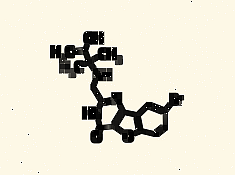 C=C(O)C(C)(C)NCc1nc2c(oc3ccc(Br)cc32)c(=O)[nH]1